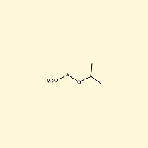 CO[CH]OC(C)C